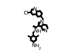 C=C(NCc1c(C)cc(N)cc1C)c1cn(Cc2ccc3ncc(Cl)cc3c2)c2ccncc12